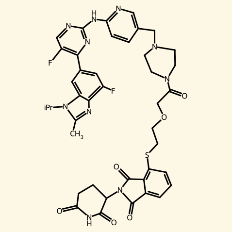 Cc1nc2c(F)cc(-c3nc(Nc4ccc(CN5CCN(C(=O)COCCSc6cccc7c6C(=O)N(C6CCC(=O)NC6=O)C7=O)CC5)cn4)ncc3F)cc2n1C(C)C